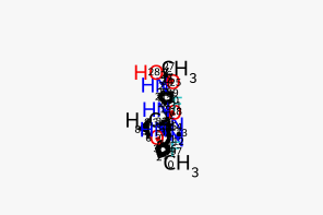 Cc1ccc(OCC2CC2)c(-c2ncnc3c(C(=O)N[C@@H]4C[C@H](NC(=O)[C@H](C)O)C[C@H]4F)c(C)[nH]c23)c1F